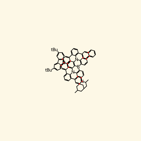 CC1CC2CC(C)N(c3ccc4c(c3)N(c3c(-c5ccccc5)cccc3-c3ccccc3)c3cc(-n5c6ccc(C(C)(C)C)cc6c6cc(C(C)(C)C)ccc65)cc5c3B4c3ccc(-c4ccccc4)cc3N5c3c(-c4ccccc4)cccc3-c3ccccc3)C(C1)C2